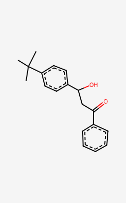 CC(C)(C)c1ccc(C(O)CC(=O)c2ccccc2)cc1